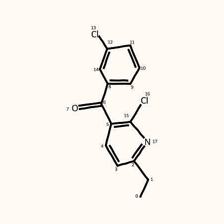 CCc1ccc(C(=O)c2cccc(Cl)c2)c(Cl)n1